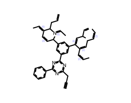 C#CCc1nc(-c2ccccc2)nc(-c2cc(C(=C/C(C)C=C)/C(/C=C\C)=C\C/C=C\C)cc(C(C)/C=C\C(=C/C)C(CC=C)/N=C/C)c2)n1